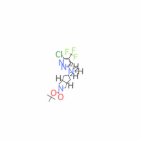 [2H]C([2H])([2H])N(c1cc(C(F)(F)F)c(Cl)nn1)C1C[C@@H]2CN(C(=O)OC(C)(C)C)C[C@@H]2C1